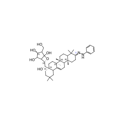 CC1(C)CC[C@]2([C@H](O)[C@H]3OC4(O)C(CO)[C@H](O)C(O)C34)CC[C@]3(C)C(=CCC4[C@@]5(C)CC/C(=N\Nc6ccccc6)C(C)(C)C5CC[C@]43C)C2C1